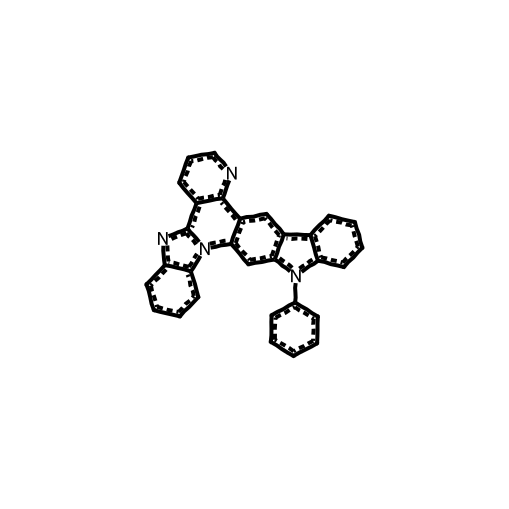 c1ccc(-n2c3ccccc3c3cc4c5ncccc5c5nc6ccccc6n5c4cc32)cc1